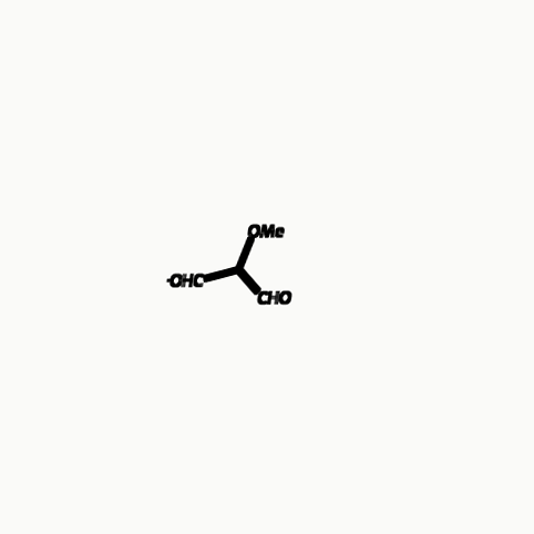 COC([C]=O)C=O